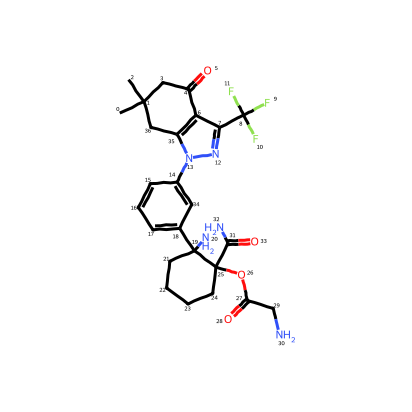 CC1(C)CC(=O)c2c(C(F)(F)F)nn(-c3cccc(C4(N)CCCCC4(OC(=O)CN)C(N)=O)c3)c2C1